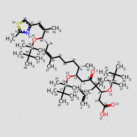 C=CC[C@@H](C(=O)C(C)(C)[C@H](CC(=O)O)O[Si](C)(C)C(C)(C)C)[C@@H](O[Si](C)(C)C(C)(C)C)[C@@H](C)CCCC(C)=CC[C@H](O[Si](C)(C)C(C)(C)C)C(C)=Cc1csc(C)n1